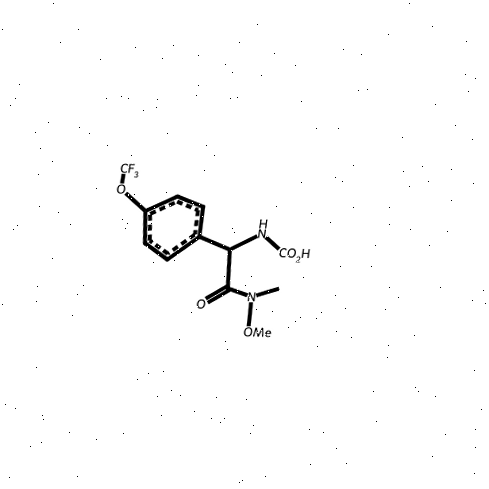 CON(C)C(=O)C(NC(=O)O)c1ccc(OC(F)(F)F)cc1